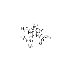 CC(C)OC=O.CCC1CC(N(Cc2cc(Cl)cc(C(F)(F)F)c2)c2nc(C)co2)CC(CC)N1